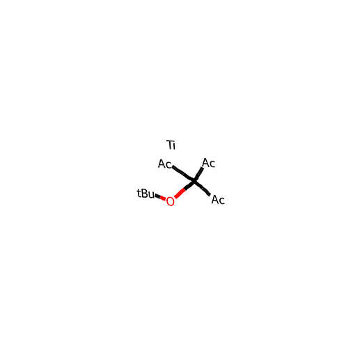 CC(=O)C(OC(C)(C)C)(C(C)=O)C(C)=O.[Ti]